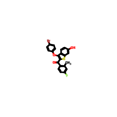 Cc1cc(F)ccc1C(=O)c1sc2cc(O)ccc2c1Oc1ccc(Br)cc1